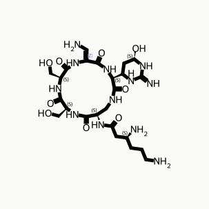 N=C1NC([C@@H]2NC(=O)/C(=C/N)NC(=O)[C@H](CO)NC(=O)[C@H](CO)NC(=O)[C@@H](NC(=O)C[C@@H](N)CCCN)CNC2=O)C[C@H](O)N1